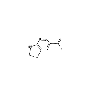 C=C(C)c1cnc2c(c1)CCN2